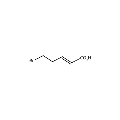 CCC(C)CC/C=C/C(=O)O